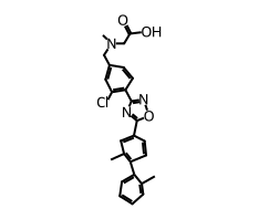 Cc1ccccc1-c1ccc(-c2nc(-c3ccc(CN(C)CC(=O)O)cc3Cl)no2)cc1C